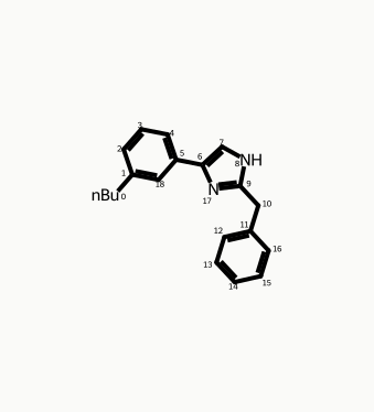 CCCCc1cccc(-c2c[nH]c(Cc3ccccc3)n2)c1